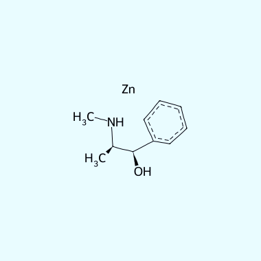 CN[C@H](C)[C@H](O)c1ccccc1.[Zn]